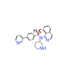 Cc1cccc2ccnc(N(C(=O)c3ccc(-c4cccnc4)cc3)[C@@H]3CCCNC3)c12